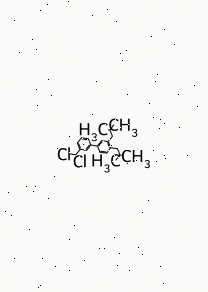 CC(C)Cc1ccc(-c2cccc(C(Cl)Cl)c2)cc1CC(C)C